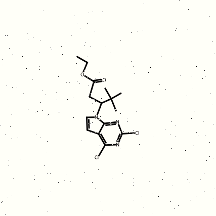 CCOC(=O)CC(n1ccc2c(Cl)nc(Cl)nc21)C(C)(C)C